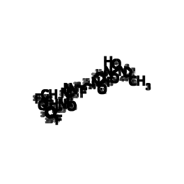 C[C@H]1CCN(C(=O)C(=O)Nc2ccn(CCC(F)Cn3cc(C(=O)NCc4cc(OC(C)(F)F)ccc4F)nn3)c(=O)c2F)C1